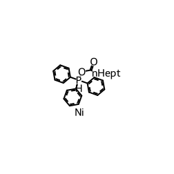 CCCCCCCC(=O)O[PH](c1ccccc1)(c1ccccc1)c1ccccc1.[Ni]